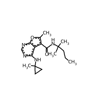 CCCC(C)(C)NC(=O)c1c(C)oc2ncnc(NC3(C)CC3)c12